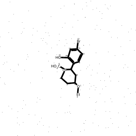 CCOC1CCN(C(=O)O)C(c2ccc(Br)cc2O)C1